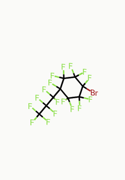 FC(F)(F)C(F)(F)C(F)(F)C1(F)C(F)(F)C(F)(F)C(F)(Br)C(F)(F)C1(F)F